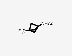 CC(=O)NC12CC(C(F)(F)F)(C1)C2